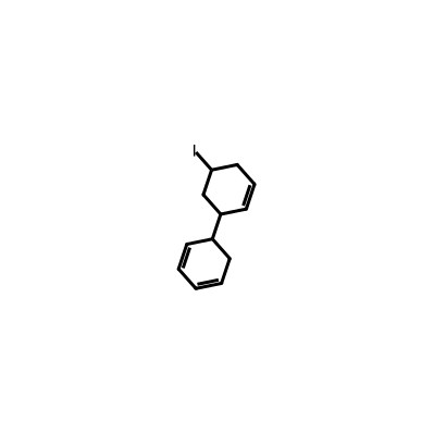 IC1CC=CC(C2C=CC=CC2)C1